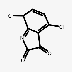 O=C1N=C2C(=C(Cl)C=CC2Cl)C1=O